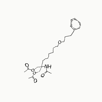 CC(=O)NC(CCCCCCOCCCc1ccccc1)(COC(C)=O)COC(C)=O